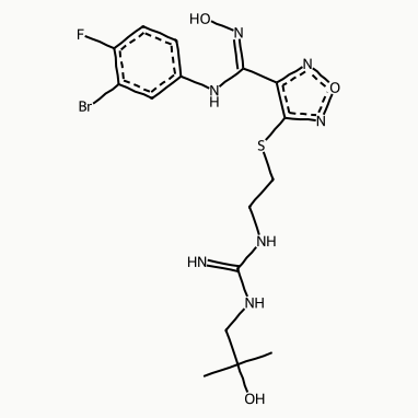 CC(C)(O)CNC(=N)NCCSc1nonc1/C(=N/O)Nc1ccc(F)c(Br)c1